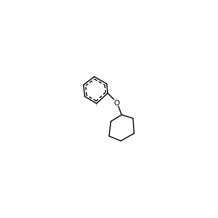 [c]1ccccc1OC1CCCCC1